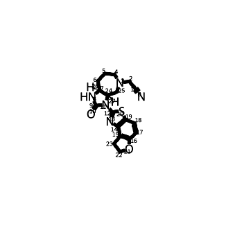 N#CCN1CCC[C@@H]2NC(=O)N(c3nc4c5c(ccc4s3)OCC5)[C@@H]2C1